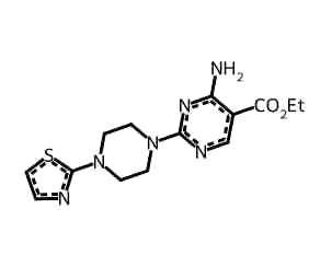 CCOC(=O)c1cnc(N2CCN(c3nccs3)CC2)nc1N